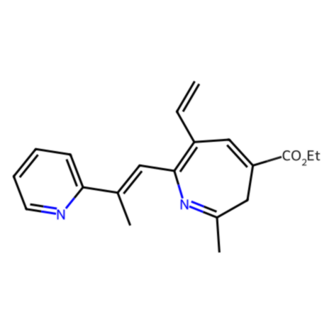 C=CC1=C(/C=C(\C)c2ccccn2)N=C(C)CC(C(=O)OCC)=C1